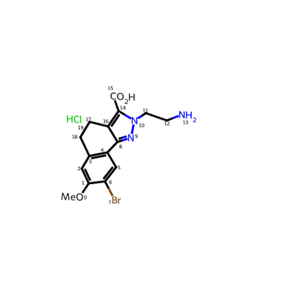 COc1cc2c(cc1Br)-c1nn(CCN)c(C(=O)O)c1CC2.Cl